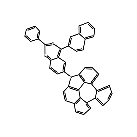 c1ccc(-c2nc(-c3ccc4ccccc4c3)c3cc(-n4c5cccc6c5c5c7c(cccc7ccc54)-c4ccccc4-6)ccc3n2)cc1